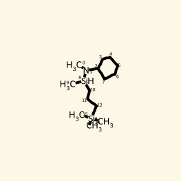 CN(C1CCCCC1)[SiH](C)CCC[Si](C)(C)C